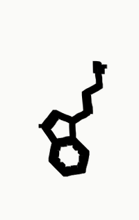 BrCC=CC1C=[C]c2ccccc21